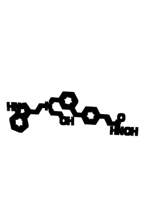 O=C(/C=C/c1ccc(Cc2cccc(CN(CCO)CCc3c[nH]c4ccccc34)c2)cc1)NO